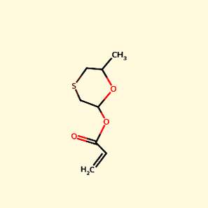 C=CC(=O)OC1CSCC(C)O1